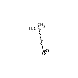 CC(C)CCCCCCC=CC([O])=O